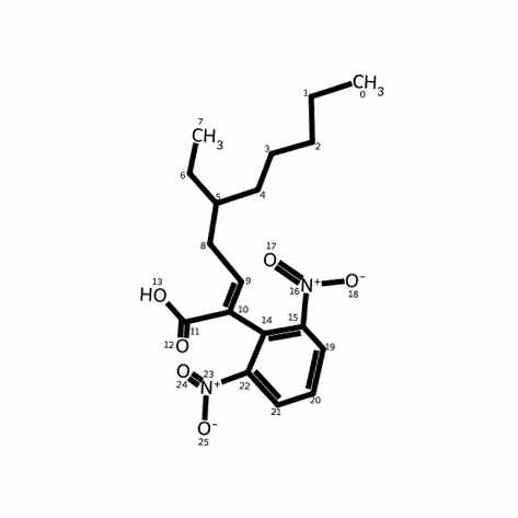 CCCCCC(CC)CC=C(C(=O)O)c1c([N+](=O)[O-])cccc1[N+](=O)[O-]